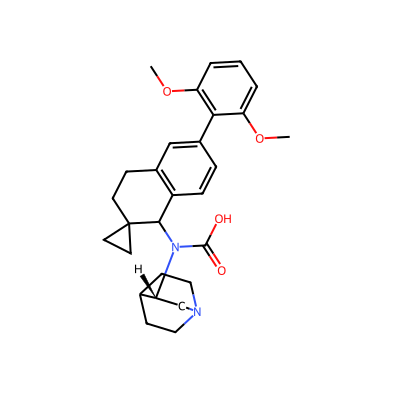 COc1cccc(OC)c1-c1ccc2c(c1)CCC1(CC1)C2N(C(=O)O)[C@@H]1CN2CCC1CC2